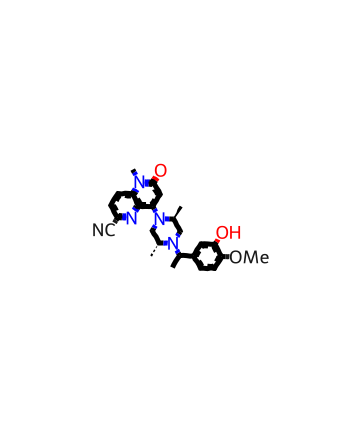 COc1ccc(C(C)N2C[C@H](C)N(c3cc(=O)n(C)c4ccc(C#N)nc34)C[C@H]2C)cc1O